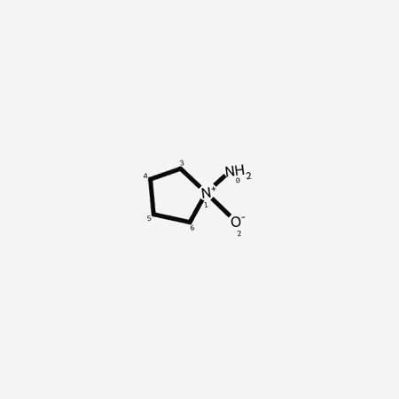 N[N+]1([O-])CCCC1